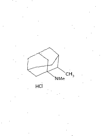 CNC12CC3CC(CC(C3)C1C)C2.Cl